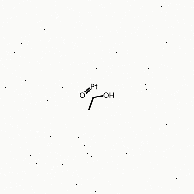 CCO.[O]=[Pt]